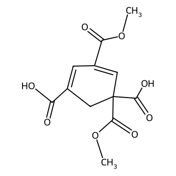 COC(=O)C1=CC(C(=O)O)(C(=O)OC)CC(C(=O)O)=C1